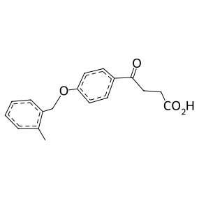 Cc1ccccc1COc1ccc(C(=O)CCC(=O)O)cc1